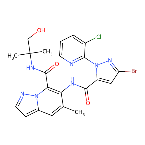 Cc1cc2ccnn2c(C(=O)NC(C)(C)CO)c1NC(=O)c1cc(Br)nn1-c1ncccc1Cl